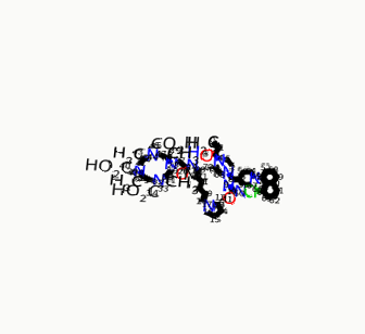 C=CC(=O)N1CCN(c2nc(OC[C@@H]3CCCN3CCCCCCNC(=O)CN3C[C@H](C)N(CC(=O)O)C[C@H](C)N(CC(=O)O)C[C@H](C)N(CC(=O)O)C[C@@H]3C)nc3c2CCN(c2cccc4cccc(Cl)c24)C3)C[C@@H]1CC#N